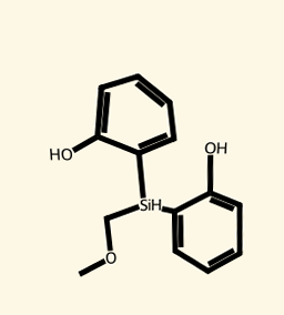 COC[SiH](c1ccccc1O)c1ccccc1O